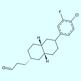 O=CCC[C@@H]1CC[C@@H]2CC(c3ccc(Cl)c(F)c3)CC[C@@H]2C1